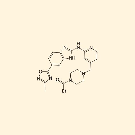 CCC(=O)N1CCN(Cc2ccnc(Nc3nc4ccc(-c5nc(C)no5)cc4[nH]3)c2)CC1